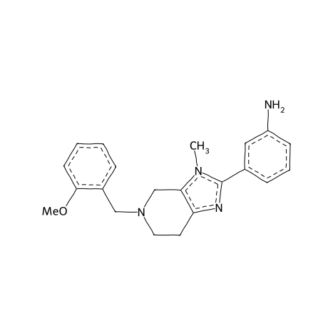 COc1ccccc1CN1CCc2nc(-c3cccc(N)c3)n(C)c2C1